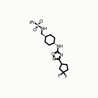 CC(C)S(=O)(=O)NC[C@H]1CC[C@H](Nc2nc(C3CCC(F)(F)C3)no2)CC1